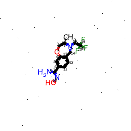 C[C@H]1COc2cc(C(N)=NO)ccc2CN1CC(F)(F)F